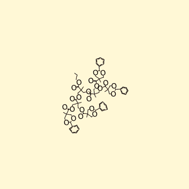 CCCOC(=O)C(C)(COC(=O)C(C)(COC(=O)C1(C)COC(c2ccccc2)OC1)COC(=O)C1(C)COC(c2ccccc2)OC1)COC(=O)C(C)(COC(=O)C1(C)COC(c2ccccc2)OC1)COC(=O)C1(C)COC(c2ccccc2)OC1